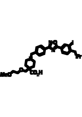 COCCOCC1(C(=O)O)CCN(Cc2ccc(-c3noc(-c4ccc(CC(C)C)c(I)c4)n3)cc2)CC1